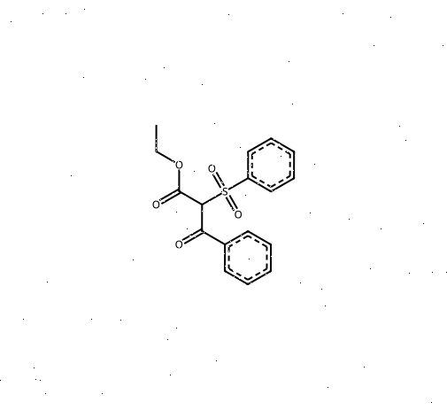 CCOC(=O)C(C(=O)c1ccccc1)S(=O)(=O)c1ccccc1